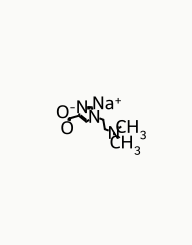 CN(C)CCn1cnc(C(=O)[O-])c1.[Na+]